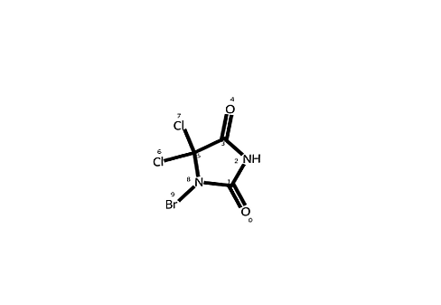 O=C1NC(=O)C(Cl)(Cl)N1Br